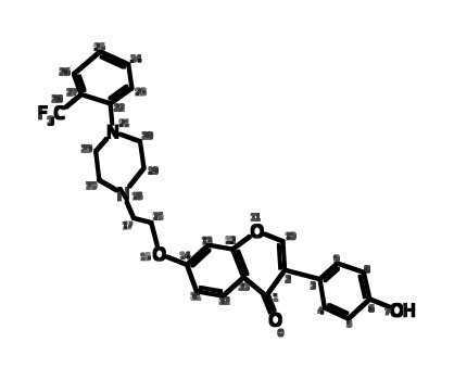 O=c1c(-c2ccc(O)cc2)coc2cc(OCCN3CCN(c4ccccc4C(F)(F)F)CC3)ccc12